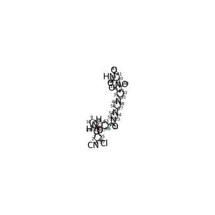 N#Cc1ccc(OC2C[C@H]3CC[C@@H](C2)N3C(=O)c2ccc(C(=O)N3CCN(C4CCN(c5ccc6c(c5)C(=O)N(C5CCC(=O)NC5=O)C6=O)CC4)CC3)cc2)cc1Cl